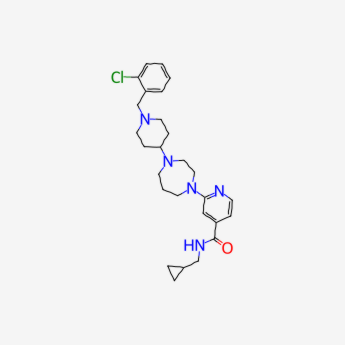 O=C(NCC1CC1)c1ccnc(N2CCCN(C3CCN(Cc4ccccc4Cl)CC3)CC2)c1